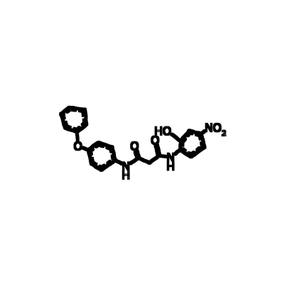 O=C(CC(=O)Nc1ccc([N+](=O)[O-])cc1O)Nc1ccc(Oc2ccccc2)cc1